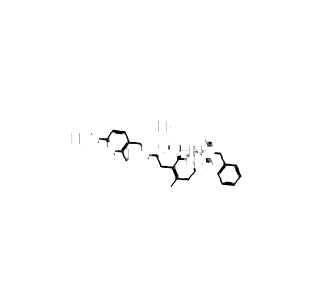 CC1=C(CC(=O)NCc2ccc(N)nc2C)C(=O)N(NS(=O)(=O)Cc2ccccc2)CC1.Cl